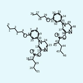 CCCCCOc1cccc(N2C=C(OC(=O)C(C)CCC)N=CC2)c1.CCCCOc1cccc(N2C=C(OC(=O)C(C)CCC)N=CC2)c1